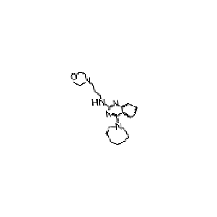 c1ccc2c(N3CCCCCCC3)nc(NCCCN3CCOCC3)nc2c1